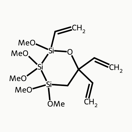 C=CC1(C=C)C[Si](OC)(OC)[Si](OC)(OC)[Si](C=C)(OC)O1